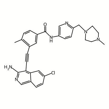 Cc1ccc(C(=O)Nc2ccc(CN3CCN(C)CC3)nc2)cc1C#Cc1c(N)ncc2ccc(Cl)cc12